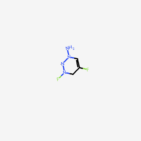 NN1C=C(F)CN(F)[N]1